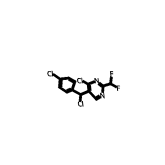 FC(F)c1ncc(C(Cl)c2ccc(Cl)cc2)c(Cl)n1